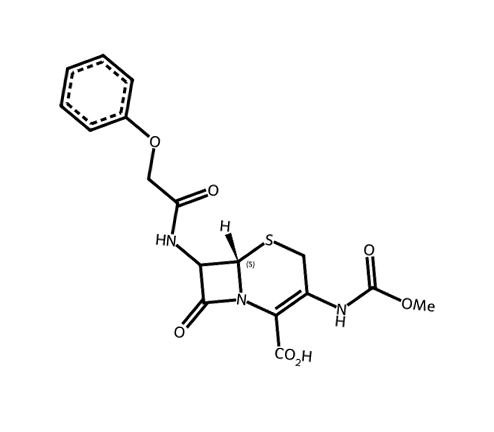 COC(=O)NC1=C(C(=O)O)N2C(=O)C(NC(=O)COc3ccccc3)[C@@H]2SC1